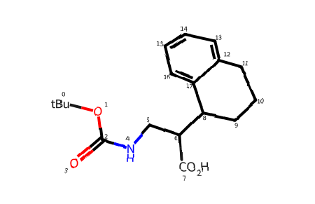 CC(C)(C)OC(=O)NCC(C(=O)O)C1CCCc2ccccc21